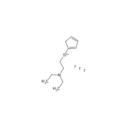 CCN(CC)C[CH2][Ti+3][C]1=CC=CC1.[I-].[I-].[I-]